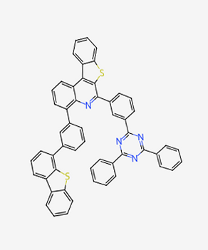 c1ccc(-c2nc(-c3ccccc3)nc(-c3cccc(-c4nc5c(-c6cccc(-c7cccc8c7sc7ccccc78)c6)cccc5c5c4sc4ccccc45)c3)n2)cc1